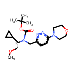 COC[C@H](C1CC1)N(Cc1ccc(N2CCOCC2)nn1)C(=O)OC(C)(C)C